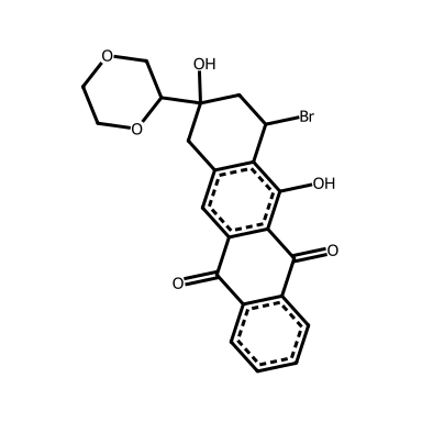 O=C1c2ccccc2C(=O)c2c1cc1c(c2O)C(Br)CC(O)(C2COCCO2)C1